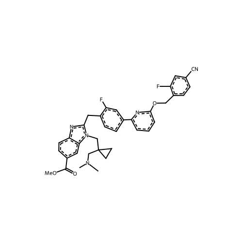 COC(=O)c1ccc2nc(Cc3ccc(-c4cccc(OCc5ccc(C#N)cc5F)n4)cc3F)n(CC3(CN(C)C)CC3)c2c1